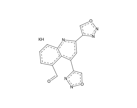 O=Cc1cccc2nc(-c3conn3)cc(-c3conn3)c12.[KH]